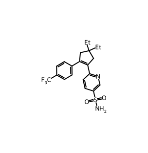 CCC1(CC)CC(c2ccc(C(F)(F)F)cc2)=C(c2ccc(S(N)(=O)=O)cn2)C1